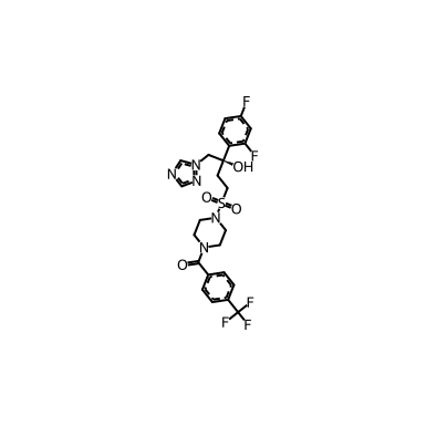 O=C(c1ccc(C(F)(F)F)cc1)N1CCN(S(=O)(=O)CC[C@](O)(Cn2cncn2)c2ccc(F)cc2F)CC1